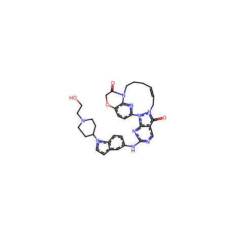 O=C1COc2ccc3nc2N1CCC/C=C\Cn1c(=O)c2cnc(Nc4ccc5c(ccn5C5CCN(CCO)CC5)c4)nc2n1-3